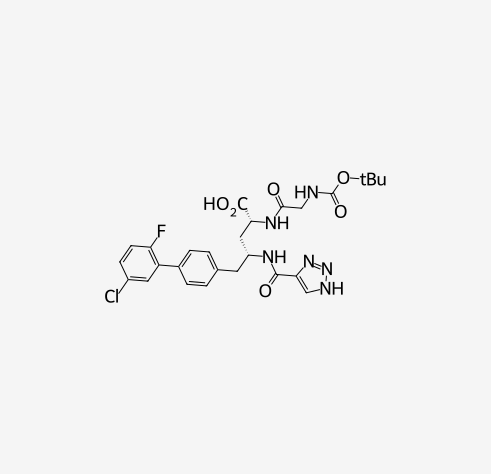 CC(C)(C)OC(=O)NCC(=O)N[C@H](C[C@@H](Cc1ccc(-c2cc(Cl)ccc2F)cc1)NC(=O)c1c[nH]nn1)C(=O)O